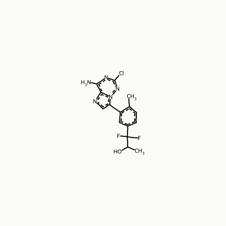 Cc1ccc(C(F)(F)C(C)O)cc1-c1cnc2c(N)nc(Cl)nn12